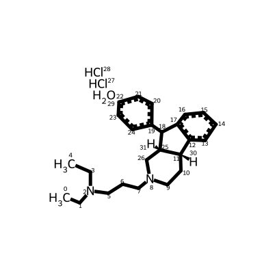 CCN(CC)CCCN1CC[C@H]2c3ccccc3C(c3ccccc3)[C@H]2C1.Cl.Cl.O